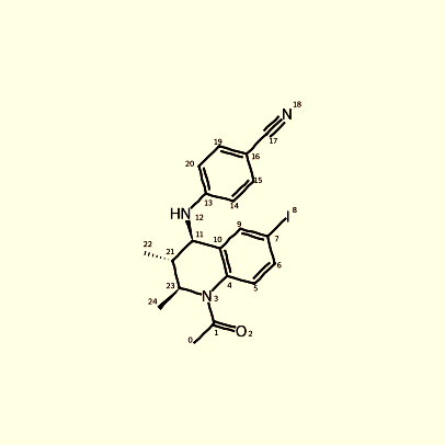 CC(=O)N1c2ccc(I)cc2[C@H](Nc2ccc(C#N)cc2)[C@@H](C)[C@@H]1C